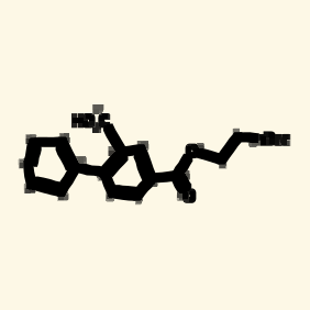 CCCCCCCCCCCCOC(=O)c1ccc(-c2ccccc2)c(C(=O)O)c1